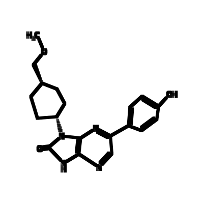 COC[C@H]1CC[C@H](n2c(=O)[nH]c3ncc(-c4ccc(O)cc4)nc32)CC1